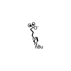 CCCCn1cc[n+](CCCS(=O)(=O)[O-])c1